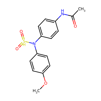 COc1ccc(N(c2ccc(NC(C)=O)cc2)[SH](=O)=O)cc1